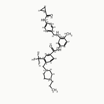 CCCN1CCN(Cc2ccc(C(=O)Nc3ccc(C)c(NCc4cnc(NC(=O)C5CC5)cn4)c3)cc2C(F)(F)F)CC1